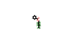 O=C(OCC(F)(F)C(F)(F)C(F)(F)C(F)F)C1CCCCC1